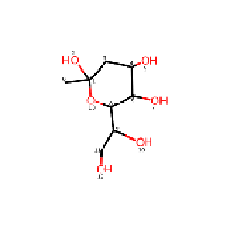 CC1(O)CC(O)C(O)C(C(O)CO)O1